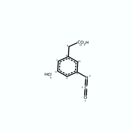 Cl.O=C=Nc1cccc(CC(=O)O)c1